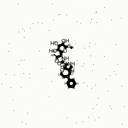 CSC1OC([C@H](NC(=O)[C@H]2NC[C@@H]3CC(c4ccccc4)=CCO[C@H]32)[C@H](C)Cl)C(O)C(O)C1O